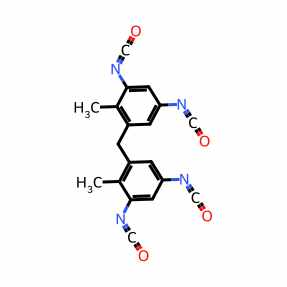 Cc1c(Cc2cc(N=C=O)cc(N=C=O)c2C)cc(N=C=O)cc1N=C=O